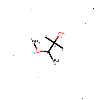 CC(C)(C)C(O[SiH3])C(C)(C)O